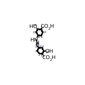 O=C(O)c1ccc(/N=N/Nc2ccc(C(=O)O)c(O)c2)cc1O